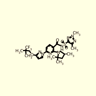 Cc1nn(C)bc1S(=O)(=O)NC(=O)c1ccc(-n2ccc(OCC(C)(C)C(F)(F)F)n2)nc1N1C[C@@H](C)CC1(C)C